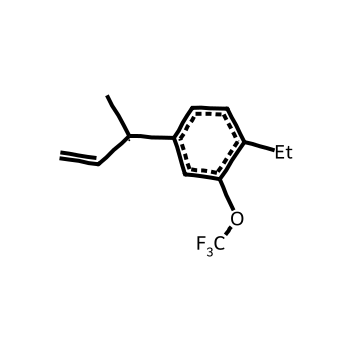 C=C[C](C)c1ccc(CC)c(OC(F)(F)F)c1